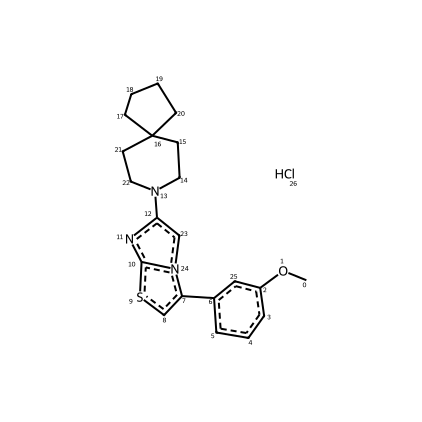 COc1cccc(-c2csc3nc(N4CCC5(CCCC5)CC4)cn23)c1.Cl